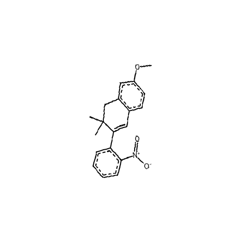 COc1ccc2c(c1)CC(C)(C)C(c1ccccc1[N+](=O)[O-])=C2